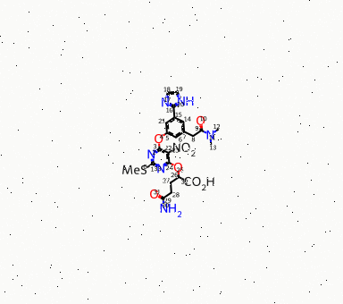 CSc1nc(Oc2cc(CC(=O)N(C)C)cc(-c3ncc[nH]3)c2)c([N+](=O)[O-])c(OC(CCC(N)=O)C(=O)O)n1